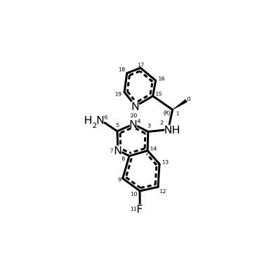 C[C@@H](Nc1nc(N)nc2cc(F)ccc12)c1ccccn1